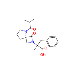 CC(C)C(=O)N1CCCC12CN(C(C)(Cc1ccccc1)C(=O)O)C2=O